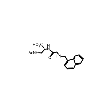 CC(=O)NC[C@H](NC(=O)CNCc1cccc2ccccc12)C(=O)O